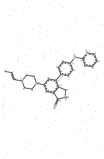 CC=CN1CCN(c2cc3c(c(-c4ccc(Oc5ccccn5)cc4)c2)CNC3=O)CC1